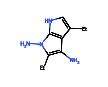 CCc1c[nH]c2c1c(N)c(CC)n2N